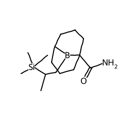 CC(CB1C2CCCC1(C(N)=O)CCC2)[Si](C)(C)C